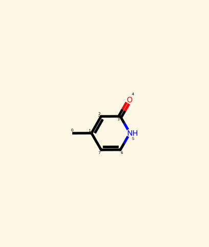 Cc1[c]c(=O)[nH]cc1